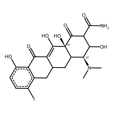 CN(C)[C@@H]1C(O)C(C(N)=O)C(=O)[C@@]2(O)C(O)=C3C(=O)c4c(O)ccc(I)c4CC3CC12